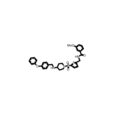 COc1cccc(C(=O)NCc2ccc(S(=O)(=O)N3CCC(NCc4ccc(Oc5ccccc5)cc4)CC3)s2)c1